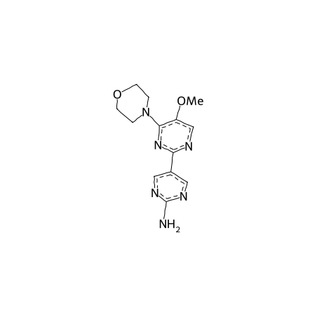 COc1cnc(-c2cnc(N)nc2)nc1N1CCOCC1